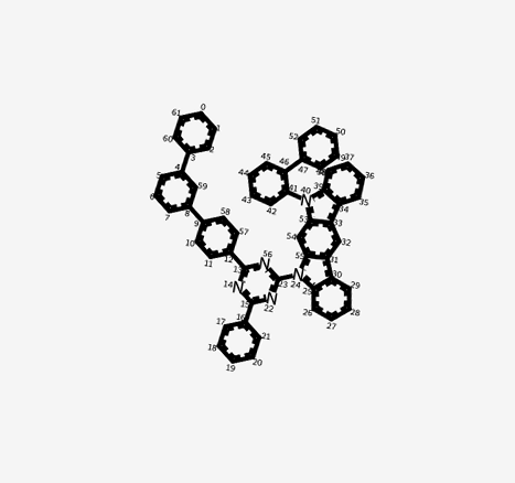 c1ccc(-c2cccc(-c3ccc(-c4nc(-c5ccccc5)nc(-n5c6ccccc6c6cc7c8ccccc8n(-c8ccccc8-c8ccccc8)c7cc65)n4)cc3)c2)cc1